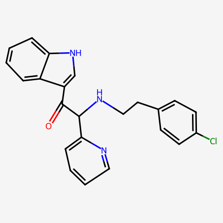 O=C(c1c[nH]c2ccccc12)C(NCCc1ccc(Cl)cc1)c1ccccn1